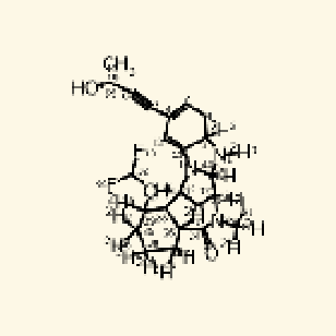 [2H]N1C2([2H])CC=C(C#C[C@@H](C)O)C=C2N2[C@@H]3C[C@@]([2H])(N(C([2H])([2H])[2H])C(=O)C4([2H])C3C([2H])(OC(F)F)C([2H])([2H])C([2H])([2H])C4([2H])[2H])C21[2H]